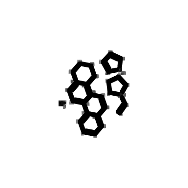 C=CN1CCCC1.F.c1ccc2c(c1)ccc1c3c(ccc12)CCCC3.c1ccoc1